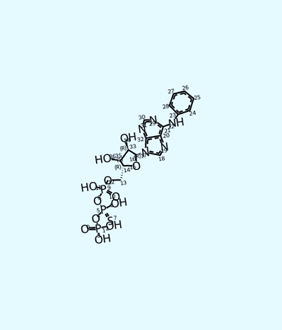 O=P(O)(O)OP(O)(=S)OP(=O)(O)OC[C@H]1O[C@@H](n2cnc3c(Nc4ccccc4)ncnc32)[C@H](O)[C@@H]1O